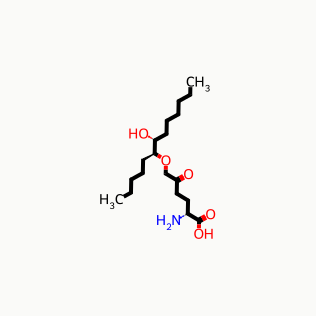 CCCCCC[C@@H](O)[C@H](CCCCC)OCC(=O)CC[C@@H](N)C(=O)O